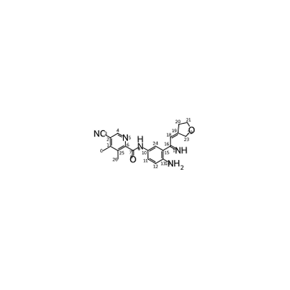 Cc1c(C#N)cnc(C(=O)Nc2ccc(N)c(C(=N)/C=C3/CCOC3)c2)c1C